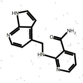 NC(=O)c1cccnc1NCc1ccnc2[nH]ccc12